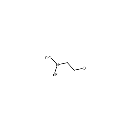 CCCN(CCC)CC[O]